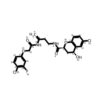 C=C(CCNC(=O)[C@@H]1C[C@H](O)c2cc(Cl)ccc2O1)NC(=O)COc1ccc(Cl)c(F)c1